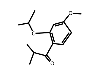 COc1ccc(C(=O)C(C)C)c(OC(C)C)c1